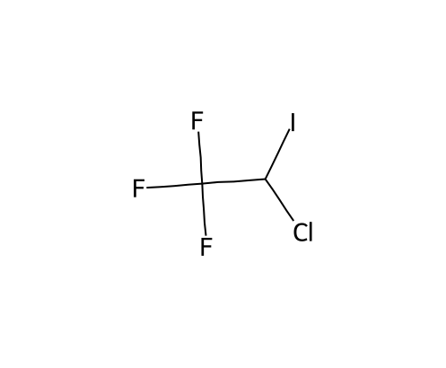 FC(F)(F)C(Cl)I